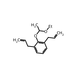 C=CCc1cccc(CC=C)c1OC(C)OCC